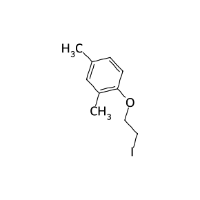 Cc1ccc(OCCI)c(C)c1